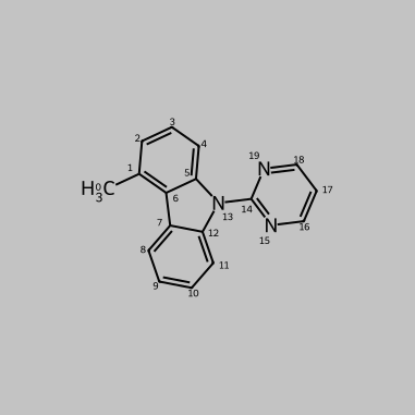 Cc1cccc2c1c1ccccc1n2-c1ncccn1